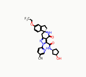 N#Cc1ccc(-n2nc3c(c2C(=O)N[C@H]2CC[C@@H](O)C2)C(=O)N[C@@]2(CCc4cc(OCC(F)(F)F)ccc42)C3)nc1